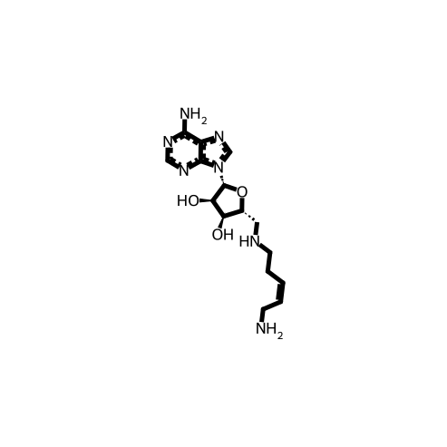 NC/C=C\CCNC[C@H]1O[C@@H](n2cnc3c(N)ncnc32)[C@H](O)[C@@H]1O